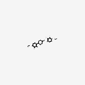 CCOc1ccc(OCC2CCC(c3ccc(OCC)c(F)c3F)CC2)c(F)c1F